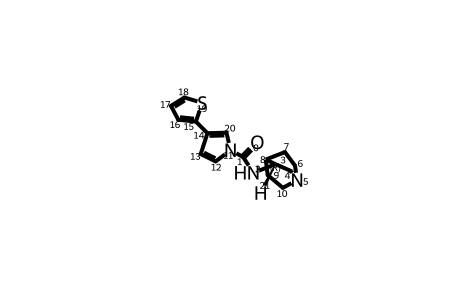 O=C(N[C@H]1CN2CCC1CC2)n1ccc(-c2cccs2)c1